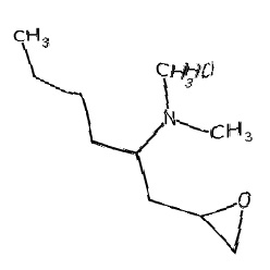 CCCCC(CC1CO1)N(C)C.Cl